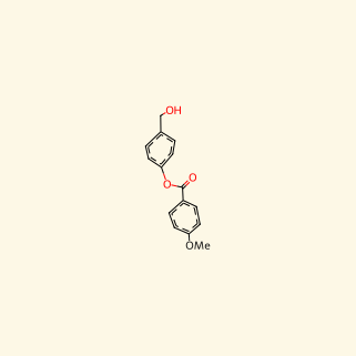 COc1ccc(C(=O)Oc2ccc(CO)cc2)cc1